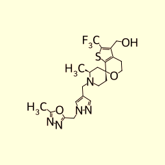 Cc1nnc(Cn2cc(CN3CC[C@]4(C[C@@H]3C)OCCc3c4sc(C(F)(F)F)c3CO)cn2)o1